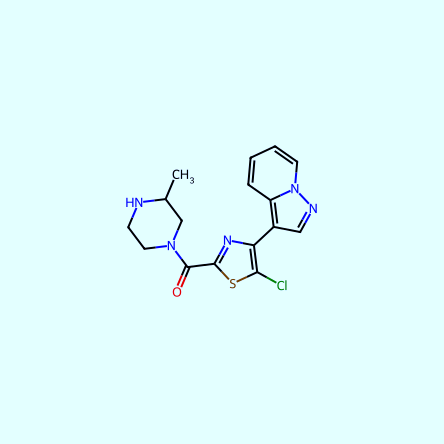 CC1CN(C(=O)c2nc(-c3cnn4ccccc34)c(Cl)s2)CCN1